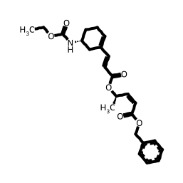 CCOC(=O)N[C@@H]1CCC=C(/C=C/C(=O)O[C@H](C)/C=C\C(=O)OCc2ccccc2)C1